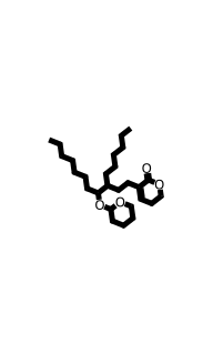 CCCCCCCC(OC1CCCCO1)C(CCCCCC)CCC1=CCCOC1=O